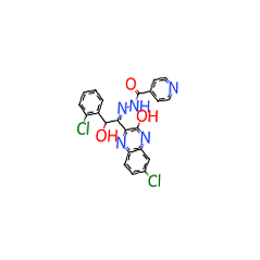 O=C(N/N=C(\c1nc2ccc(Cl)cc2nc1O)C(O)c1ccccc1Cl)c1ccncc1